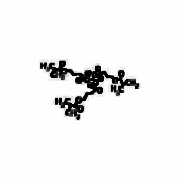 C=C(C)C(=O)OCCCS(=O)(=O)OC(OS(=O)(=O)CCCOC(=O)C(=C)C)OS(=O)(=O)CCCOC(=O)C(=C)C